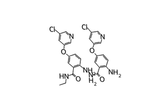 CCNC(=O)c1cc(Oc2cncc(Cl)c2)ccc1N.NC(=O)c1cc(Oc2cncc(Cl)c2)ccc1N